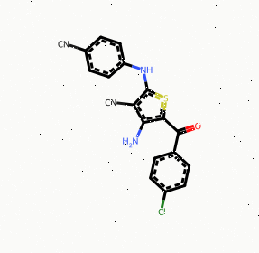 [C-]#[N+]c1ccc(Nc2sc(C(=O)c3ccc(Cl)cc3)c(N)c2[N+]#[C-])cc1